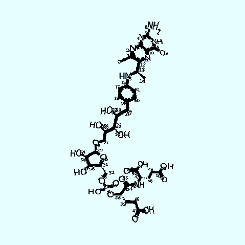 Cc1nc2nc(N)[nH]c(=O)c2nc1[C@@H](C)Nc1ccc(C[C@H](O)[C@H](O)[C@H](O)CO[C@H]2O[C@H](COP(=O)(O)O[C@@H](CCC(=O)O)C(=O)N[C@@H](CCC(=O)O)C(=O)O)[C@@H](O)[C@H]2O)cc1